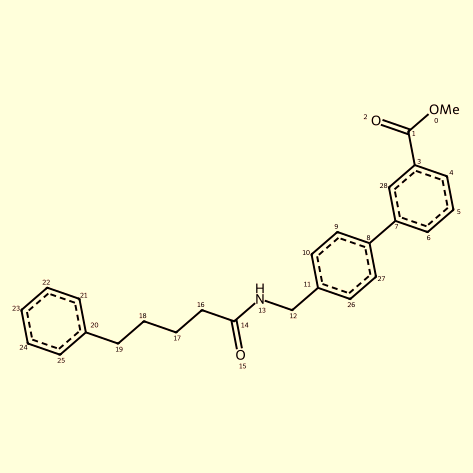 COC(=O)c1cccc(-c2ccc(CNC(=O)CCCCc3ccccc3)cc2)c1